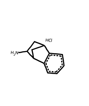 Cl.NC1CC2CC1c1ccccc12